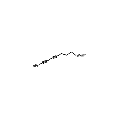 [CH2]CCC#CC#CCCCCCCCC